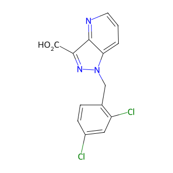 O=C(O)c1nn(Cc2ccc(Cl)cc2Cl)c2cccnc12